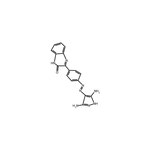 Nc1n[nH]c(N)c1N=Nc1ccc(-c2nc3ccccc3[nH]c2=O)cc1